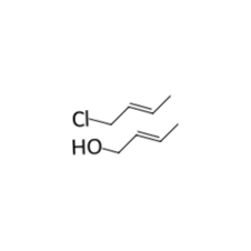 CC=CCCl.CC=CCO